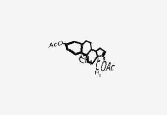 CC(=O)OC1=CC2CCC3C(CC[C@]4(C)C(OC(C)=O)=CCC34)[C@@]2(C)C=C1